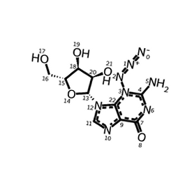 [N-]=[N+]=Nn1c(N)nc(=O)c2ncn([C@@H]3O[C@H](CO)[C@@H](O)[C@H]3O)c21